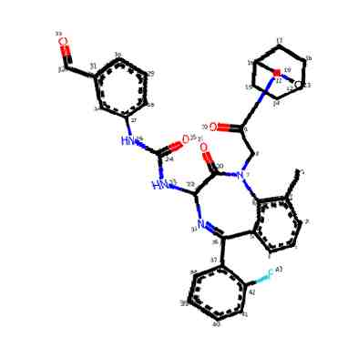 Cc1cccc2c1N(CC(=O)N1CC3CCC(CC3)C1)C(=O)C(NC(=O)Nc1cccc(C=O)c1)N=C2c1ccccc1F